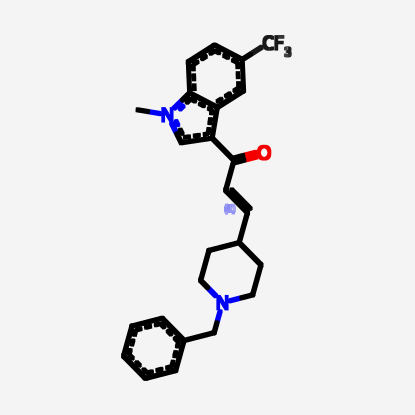 Cn1cc(C(=O)/C=C/C2CCN(Cc3ccccc3)CC2)c2cc(C(F)(F)F)ccc21